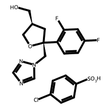 O=S(=O)(O)c1ccc(Cl)cc1.OC[C@@H]1CO[C@@](Cn2cncn2)(c2ccc(F)cc2F)C1